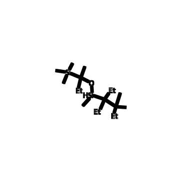 CCC(C)(C)C(CC)(CC)[SiH](C)OC(C)(CC)[Si](C)(C)C